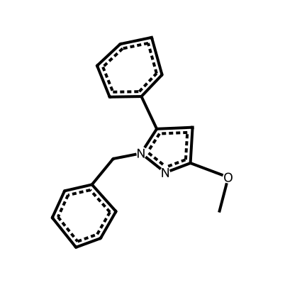 COc1cc(-c2ccccc2)n(Cc2ccccc2)n1